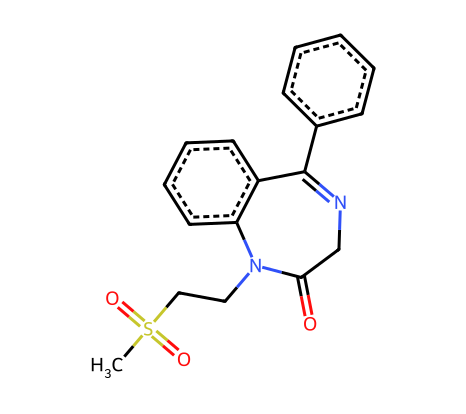 CS(=O)(=O)CCN1C(=O)CN=C(c2ccccc2)c2ccccc21